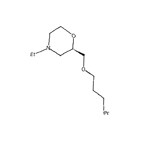 CCN1CCO[C@@H](COCCCC(C)C)C1